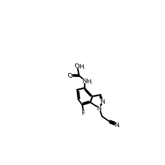 N#CCn1ncc2c(NC(=O)O)ccc(F)c21